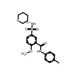 COc1ccc(S(=O)(=O)N[C@H]2CCCOC2)cc1C(=O)Nc1ccc(F)cc1